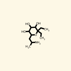 CCC1(CC)OC(CC(C)N)C(O)C(O)C1O